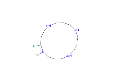 FC1CCNCCCNCCCNCCC[N]1[Ti]